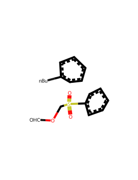 CCCCc1ccccc1.O=COCS(=O)(=O)c1ccccc1